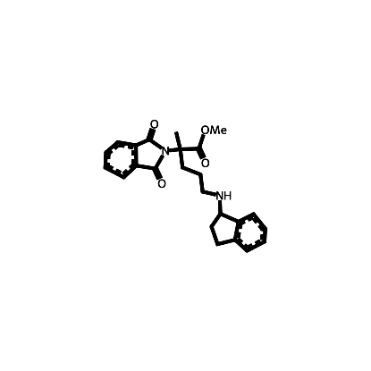 COC(=O)C(C)(CCCNC1CCc2ccccc21)N1C(=O)c2ccccc2C1=O